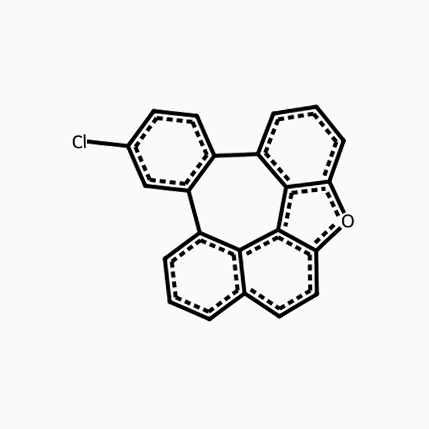 Clc1ccc2c(c1)-c1cccc3ccc4oc5cccc-2c5c4c13